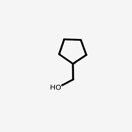 OC[C]1CCCC1